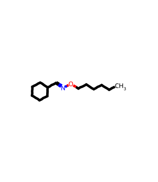 CCCCCCO/N=[C]/C1CCCCC1